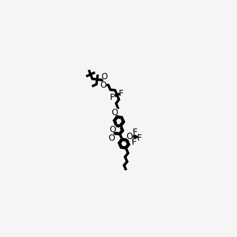 CCCCCc1ccc(-c2cc3ccc(OCCCC(F)(F)CCCOC(=O)C(C)(CC)CC(C)(C)C)cc3oc2=O)c(OC(F)(F)F)c1